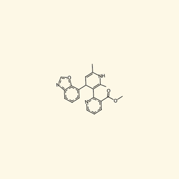 COC(=O)c1cccnc1C1=C(C)NC(C)=CC1c1cccc2ncoc12